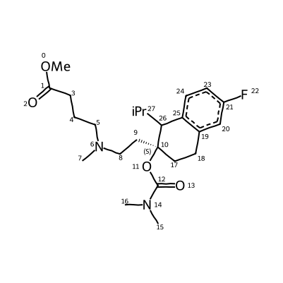 COC(=O)CCCN(C)CC[C@@]1(OC(=O)N(C)C)CCc2cc(F)ccc2C1C(C)C